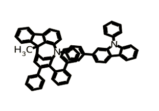 CC12c3cc(-c4ccccc4)c(-c4ccccc4-c4ccccc4)c(c3)N(c3ccc(-c4ccc5c6ccccc6n(-c6ccccc6)c5c4)cc3)c3cccc(c31)-c1ccccc12